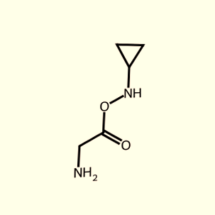 NCC(=O)ONC1CC1